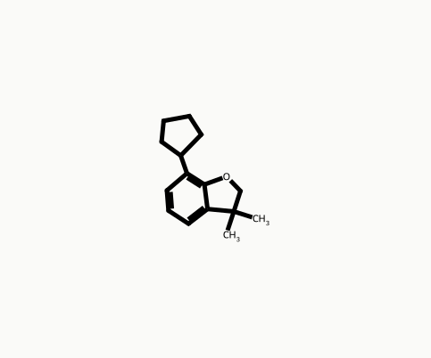 CC1(C)COc2c(C3CCCC3)cccc21